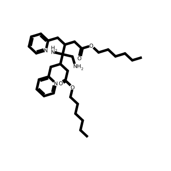 CCCCCCOC(=O)CC(Cc1ccccn1)C(N)(CN)C(CC(=O)OCCCCCC)Cc1ccccn1